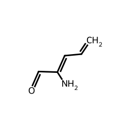 C=CC=C(N)C=O